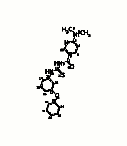 CN(C)c1ccc(C(=O)NC(=S)Nc2cccc(Oc3ccccc3)c2)cn1